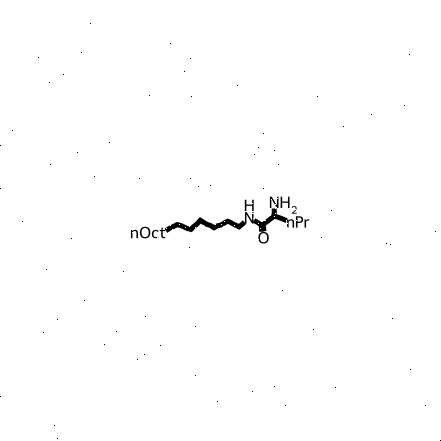 CCCCCCCCCCCCCCNC(=O)C(N)CCC